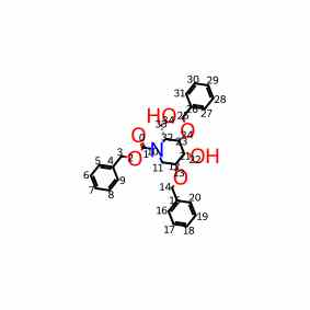 O=C(OCc1ccccc1)N1C[C@H](OCc2ccccc2)[C@@H](O)[C@H](OCc2ccccc2)[C@H]1CO